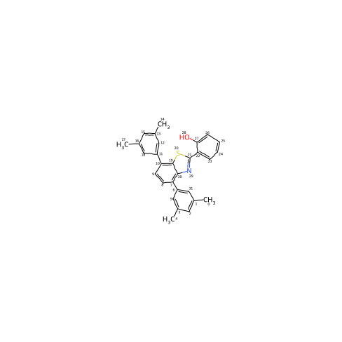 Cc1cc(C)cc(-c2ccc(-c3cc(C)cc(C)c3)c3sc(-c4ccccc4O)nc23)c1